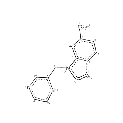 O=C(O)c1ccc2ncn(Cc3cnccn3)c2c1